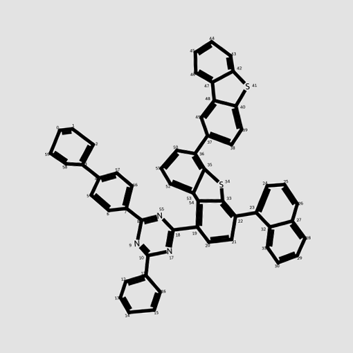 c1ccc(-c2ccc(-c3nc(-c4ccccc4)nc(-c4ccc(-c5cccc6ccccc56)c5sc6c(-c7ccc8sc9ccccc9c8c7)cccc6c45)n3)cc2)cc1